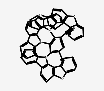 N#Cc1cc(C#N)c(-n2c3ccccc3c3ccc4oc5ccccc5c4c32)c(-n2c3ccccc3c3ccc4oc5ccccc5c4c32)c1-n1c2ccccc2c2ccc3oc4ccccc4c3c21